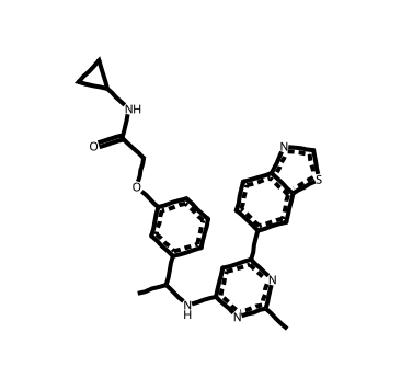 Cc1nc(NC(C)c2cccc(OCC(=O)NC3CC3)c2)cc(-c2ccc3ncsc3c2)n1